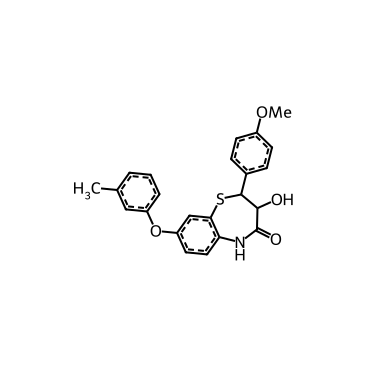 COc1ccc(C2Sc3cc(Oc4cccc(C)c4)ccc3NC(=O)C2O)cc1